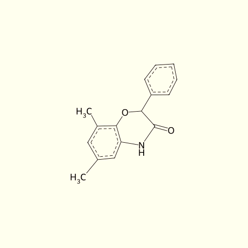 Cc1cc(C)c2c(c1)NC(=O)C(c1ccccc1)O2